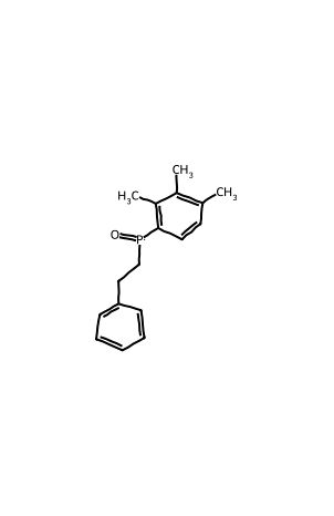 Cc1ccc([P](=O)CCc2ccccc2)c(C)c1C